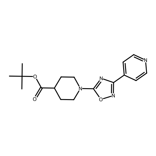 CC(C)(C)OC(=O)C1CCN(c2nc(-c3ccncc3)no2)CC1